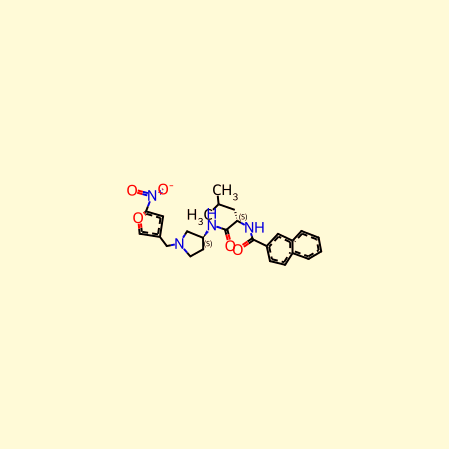 CC(C)C[C@H](NC(=O)c1ccc2ccccc2c1)C(=O)N[C@H]1CCN(Cc2coc([N+](=O)[O-])c2)C1